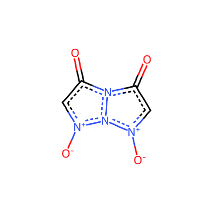 O=c1c[n+]([O-])n2n1c(=O)c[n+]2[O-]